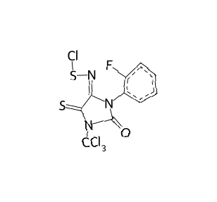 O=C1N(c2ccccc2F)C(=NSCl)C(=S)N1C(Cl)(Cl)Cl